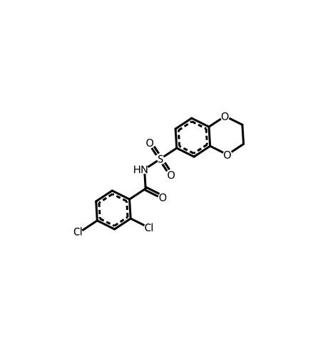 O=C(NS(=O)(=O)c1ccc2c(c1)OCCO2)c1ccc(Cl)cc1Cl